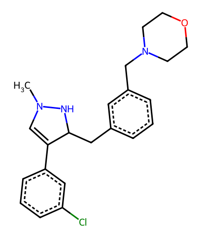 CN1C=C(c2cccc(Cl)c2)C(Cc2cccc(CN3CCOCC3)c2)N1